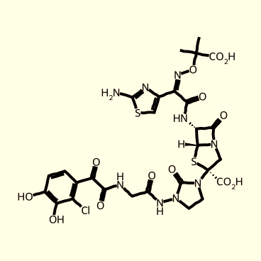 CC(C)(O/N=C(\C(=O)N[C@@H]1C(=O)N2C[C@@](C(=O)O)(N3CCN(NC(=O)CNC(=O)C(=O)c4ccc(O)c(O)c4Cl)C3=O)S[C@H]12)c1csc(N)n1)C(=O)O